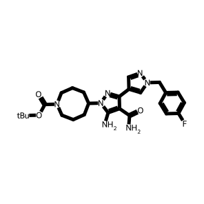 CC(C)(C)OC(=O)N1CCCC(n2nc(-c3cnn(Cc4ccc(F)cc4)c3)c(C(N)=O)c2N)CCC1